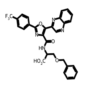 O=C(NC(COCc1ccccc1)C(=O)O)c1nc(-c2ccc(C(F)(F)F)cc2)oc1-c1cnc2ccccc2n1